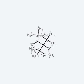 COC(C(C)(C)C)C(O[SiH3])(C(C)(C)C)C(C)(C)C